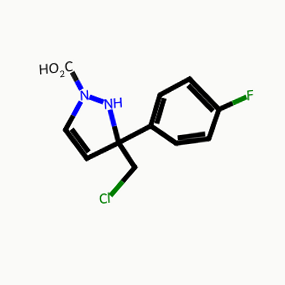 O=C(O)N1C=CC(CCl)(c2ccc(F)cc2)N1